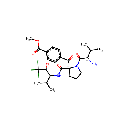 COC(=O)c1ccc(C(=O)[C@@]2(C(=O)NC(C(C)C)C(O)C(F)(F)F)CCCN2C(=O)[C@@H](N)C(C)C)cc1